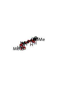 COC(=O)NC(C(=O)N1CCC[C@H]1c1ncc(-c2ccc(-c3ccc4cc(-c5cnc([C@H]6CCCC[C@H]6C(=O)N(NC(=O)OC)C(C)C)[nH]5)ccc4c3)cc2)[nH]1)C1CCOC1